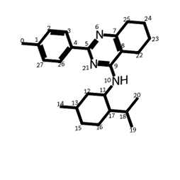 Cc1ccc(-c2nc3c(c(NC4CC(C)CCC4C(C)C)n2)CCCC3)cc1